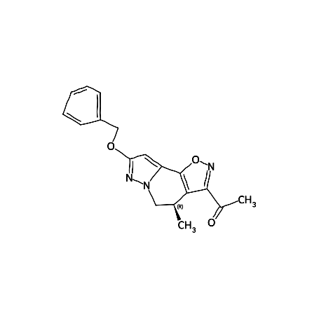 CC(=O)c1noc2c1[C@@H](C)Cn1nc(OCc3ccccc3)cc1-2